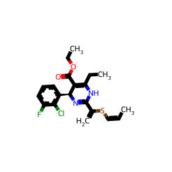 C=C(S/C=C\C)C1=N[C@@H](c2cccc(F)c2Cl)C(C(=O)OCC)=C(CC)N1